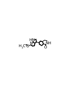 CCOc1ccc2c(-c3ccc4c(c3)CCNC4=O)c[nH]c2n1